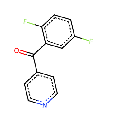 O=C(c1ccncc1)c1cc(F)ccc1F